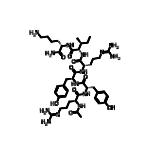 CC[C@H](C)[C@H](NC(=O)[C@H](CCCN=C(N)N)NC(=O)[C@H](Cc1ccc(O)cc1)NC(=O)[C@H](Cc1ccc(O)cc1)NC(=O)[C@H](CCCN=C(N)N)NC(C)=O)C(=O)N[C@@H](CCCCN)C(N)=O